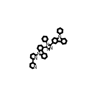 c1ccc(-n2c(-c3ccc4c(c3)c3ccccc3n4-c3ccccc3)nnc2-c2cccc3c2c2ccccc2n3-c2cccc(-c3cccnc3)n2)cc1